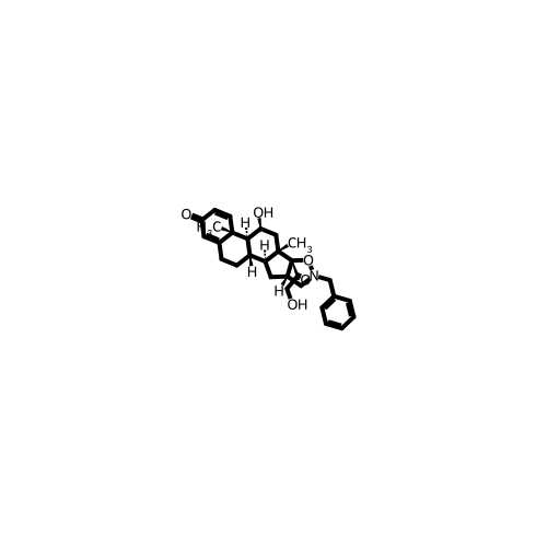 C[C@]12C=CC(=O)C=C1CC[C@@H]1[C@@H]2[C@@H](O)C[C@@]2(C)[C@H]1C[C@H]1CN(Cc3ccccc3)O[C@]12C(=O)CO